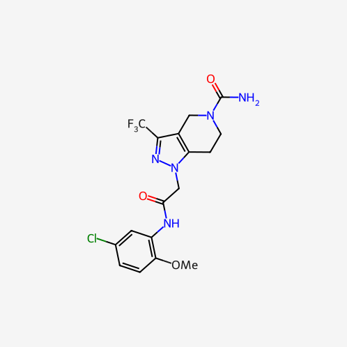 COc1ccc(Cl)cc1NC(=O)Cn1nc(C(F)(F)F)c2c1CCN(C(N)=O)C2